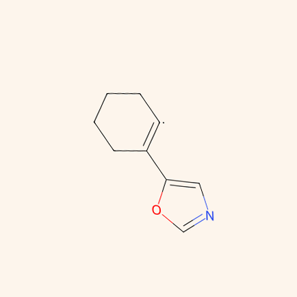 [C]1=C(c2cnco2)CCCC1